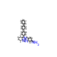 N=C1C=CC=C/C1=C(/N=C/c1ccc(N)cc1)c1ccc(-c2ccc(-c3ccccc3)cc2)cc1